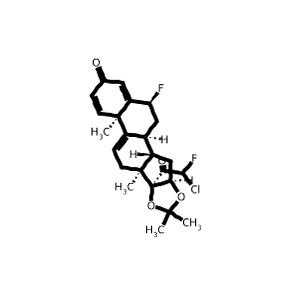 CC1(C)O[C@@H]2C[C@H]3[C@@H]4C[C@H](F)C5=CC(=O)C=C[C@]5(C)C4=CC[C@]3(C)[C@]2(C(=O)C(F)Cl)O1